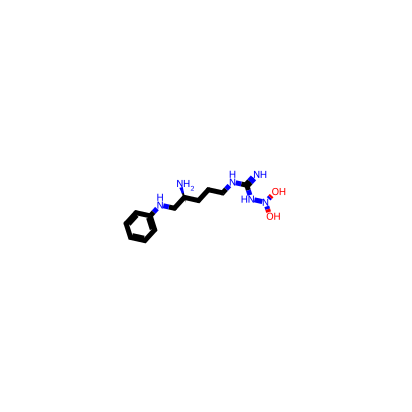 N=C(NCCC[C@H](N)CNc1ccccc1)NN(O)O